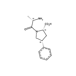 C[C@H](N)C(=O)N1C[C@@H](c2ccccc2)C[C@H]1C(=O)O